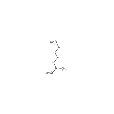 CCCCCN(C)CCCCS(=O)(=O)O